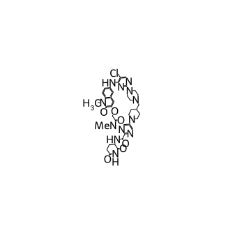 CNC(=O)COc1cc2cc(Nc3nc(N4CCN(CC5CCN(c6cnc(C(=O)NC7CCC(=O)NC7=O)nc6)CC5)CC4)ncc3Cl)ccc2n(C)c1=O